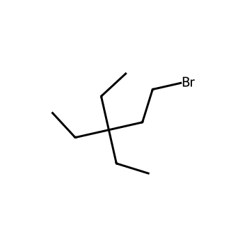 CCC(CC)(CC)CCBr